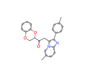 Cc1ccc(-c2nc3ccc(C)cn3c2CC(=O)C2COc3ccccc3O2)cc1